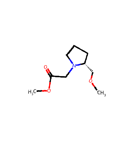 COC[C@H]1CCCN1CC(=O)OC